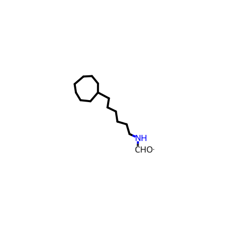 O=[C]NCCCCCCC1CCCCCCC1